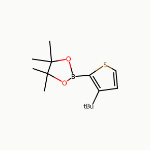 CC(C)(C)c1ccsc1B1OC(C)(C)C(C)(C)O1